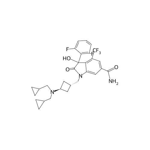 NC(=O)c1cc2c(c(C(F)(F)F)c1)C(O)(c1c(F)cccc1F)C(=O)N2C[C@H]1C[C@H](N(CC2CC2)CC2CC2)C1